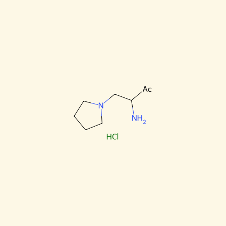 CC(=O)C(N)CN1CCCC1.Cl